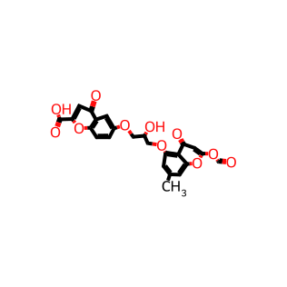 Cc1cc(OCC(O)COc2ccc3oc(C(=O)O)cc(=O)c3c2)c2c(=O)cc(OC=O)oc2c1